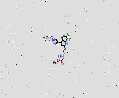 CC(C)(C)OC(=O)CNCCCc1cc(-c2cnn(C(=O)O)c2)c2ccc(Cl)c(Cl)c2n1